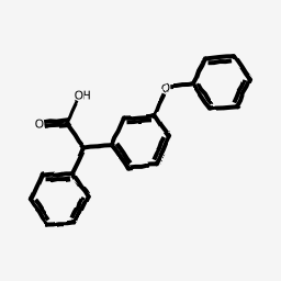 O=C(O)C(c1ccccc1)c1cccc(Oc2ccccc2)c1